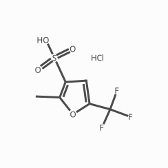 Cc1oc(C(F)(F)F)cc1S(=O)(=O)O.Cl